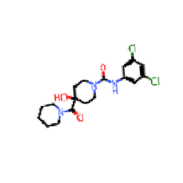 O=C(Nc1cc(Cl)cc(Cl)c1)N1CCC(O)(C(=O)N2CCCCC2)CC1